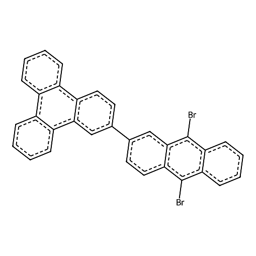 Brc1c2ccccc2c(Br)c2cc(-c3ccc4c5ccccc5c5ccccc5c4c3)ccc12